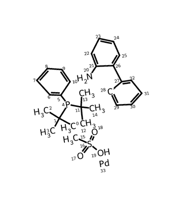 CC(C)(C)P(c1ccccc1)C(C)(C)C.CS(=O)(=O)O.Nc1ccccc1-c1[c-]cccc1.[Pd]